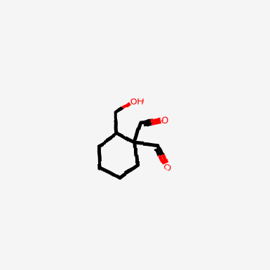 O=CC1(C=O)CCCCC1CO